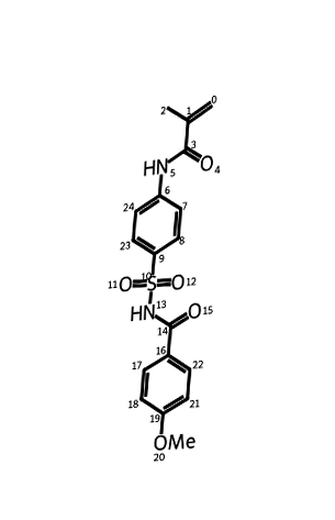 C=C(C)C(=O)Nc1ccc(S(=O)(=O)NC(=O)c2ccc(OC)cc2)cc1